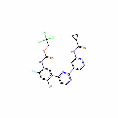 Cc1cc(F)c(NC(=O)OCC(Cl)(Cl)Cl)cc1-c1ccnc(-c2ccnc(NC(=O)C3CC3)c2)n1